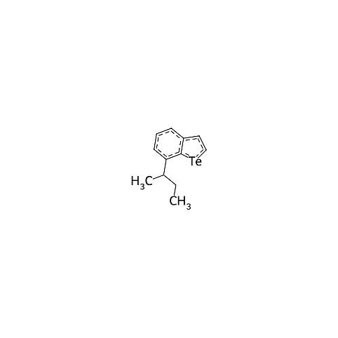 CCC(C)c1cccc2cc[te]c12